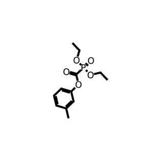 CCOP(=O)(OCC)C(=O)Oc1cccc(C)c1